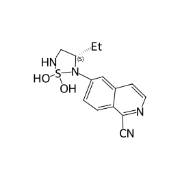 CC[C@H]1CNS(O)(O)N1c1ccc2c(C#N)nccc2c1